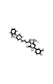 CC1=CC(c2ccc(F)c(F)c2)NC(=O)N1N(C=O)CCCN1CCN(c2ccccc2C)CC1